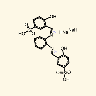 O=S(=O)(O)c1ccc(O)c(/C=N\c2ccccc2/N=C/c2cc(S(=O)(=O)O)ccc2O)c1.[NaH].[NaH]